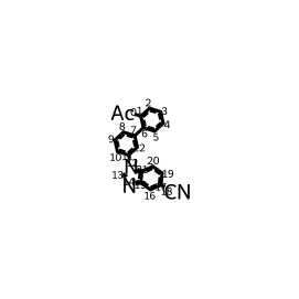 CC(=O)c1ccccc1-c1cccc(-n2cnc3cc(C#N)ccc32)c1